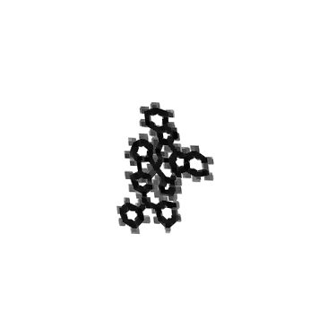 c1ccc(N(c2ccccc2)c2ccc3c(c2)C2(c4ccccc4-3)c3ccccc3-n3c4c(c5ccccc53)-c3sc5ccccc5c3CC42)cc1